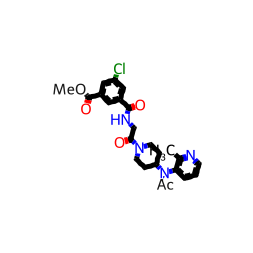 COC(=O)c1cc(Cl)cc(C(=O)NCC(=O)N2CCC(N(C(C)=O)c3cccnc3C)CC2)c1